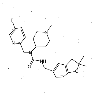 CN1CCC(N(Cc2ccc(F)cn2)C(=O)NCc2ccc3c(c2)CC(C)(C)O3)CC1